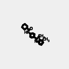 Cc1cccc2nc(-c3ccc(NC(=O)C4CCCCC4)cc3)n(C)c12